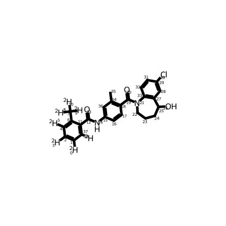 [2H]c1c([2H])c([2H])c(C([2H])([2H])[2H])c(C(=O)Nc2ccc(C(=O)N3CCCC(O)c4cc(Cl)ccc43)c(C)c2)c1[2H]